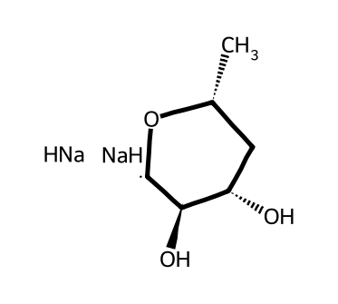 C[C@@H]1C[C@H](O)[C@@H](O)[CH]O1.[NaH].[NaH]